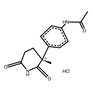 CC(=O)Nc1ccc([C@@]2(C)CCC(=O)NC2=O)cc1.Cl